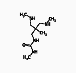 CNCC(C)(CNC)CNC(=O)NC